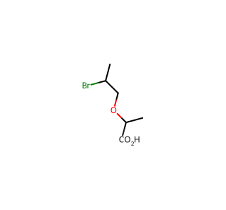 CC(Br)COC(C)C(=O)O